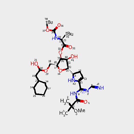 COC(C)(C)C(=O)N/C(=N/C=N)C1=CCC([C@@H]2O[C@H](COC(O)CC3CCCCC3)[C@@H](OC(=O)[C@@H](NC(=O)OC(C)(C)C)C(C)(C)C)[C@H]2O)N1